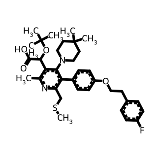 CSCc1nc(C)c(C(OC(C)(C)C)C(=O)O)c(N2CCC(C)(C)CC2)c1-c1ccc(OCCc2ccc(F)cc2)cc1